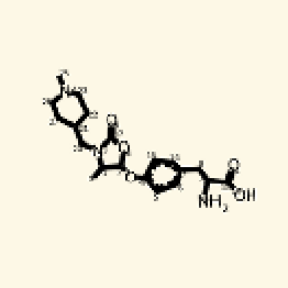 CC1C(Oc2ccc(CC(N)C(=O)O)cc2)OC(=O)N1CC1CCN(C)CC1